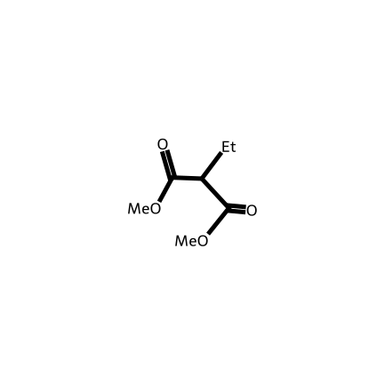 [CH2]CC(C(=O)OC)C(=O)OC